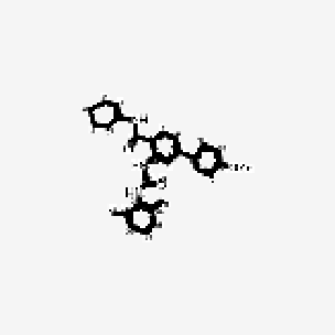 CC(=O)Oc1ccc(-c2ccc(C(=O)NC3CCCCC3)c(NC(=O)Nc3c(C)cccc3C)c2)cc1